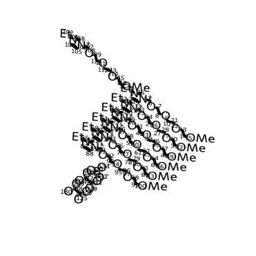 CCn1cc[n+](COCCOCCOCCOC)c1.CCn1cc[n+](COCCOCCOCCOC)c1.CCn1cc[n+](COCCOCCOCCOC)c1.CCn1cc[n+](COCCOCCOCCOC)c1.CCn1cc[n+](COCCOCCOCCOC)c1.CCn1cc[n+](COCCOCCOCCOC)c1.CCn1cc[n+](COCCOCCOCCOC)c1.O=C([O-])C(=O)[O-].O=C([O-])C(=O)[O-].[O-]B([O-])[O-]